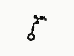 NC(=O)OCC#Cc1ccccc1